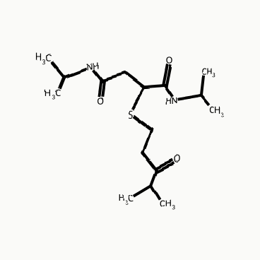 CC(C)NC(=O)CC(SCCC(=O)C(C)C)C(=O)NC(C)C